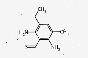 CCc1cc(C)c(N)c(C=S)c1N